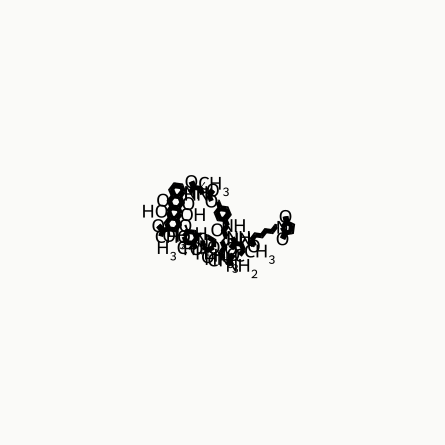 CO[C@H]1OCCN2[C@@H]1O[C@@H]1[C@H](C)O[C@@H](O[C@H]3C[C@](O)(C(C)=O)Cc4c(O)c5c(c(O)c43)C(=O)c3c(NC(=O)[C@H](C)NC(=O)OCc4ccc(NC(=O)[C@H](CCCNC(N)=O)NC(=O)[C@@H](NC(=O)CCCCCN6C(=O)C=CC6=O)C(C)C)cc4)cccc3C5=O)C[C@@H]12